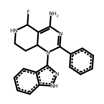 NC1=C2C(F)NCCC2N(c2n[nH]c3ccccc23)C(c2ccccc2)=N1